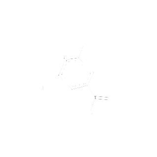 Br.O=C(O)c1ccnc(Cl)c1